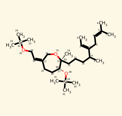 CC=C(CC=C(C)C)C(C)CCC[C@]1(C)OCC(=CCO[Si](C)(C)C)CC[C@H]1O[Si](C)(C)C